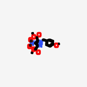 COC(=O)c1nn(Cc2ccc(OC)cc2)c(C(=O)OC)c1[N+](=O)[O-]